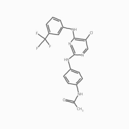 CC(=O)Nc1ccc(Nc2ncc(Cl)c(Nc3cccc(C(F)(F)F)c3)n2)cc1